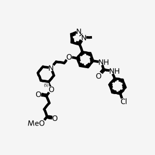 COC(=O)CCC(=O)O[C@H]1CCCN(CCOc2ccc(NC(=O)Nc3ccc(Cl)cc3)cc2-c2ccnn2C)C1